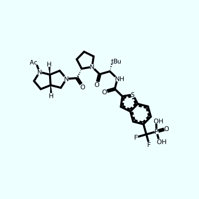 CC(=O)N1CC[C@H]2CN(C(=O)[C@@H]3CCCN3C(=O)[C@@H](NC(=O)c3cc4cc(C(F)(F)P(=O)(O)O)ccc4s3)C(C)(C)C)C[C@H]21